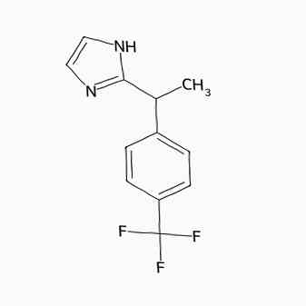 CC(c1ccc(C(F)(F)F)cc1)c1ncc[nH]1